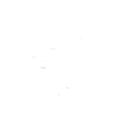 CC(C)(C)c1ccc(C(=O)NC(c2ccccc2)C(O)C(=O)Nc2ccc3c(N)nccc3c2)cc1